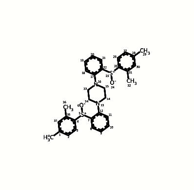 Cc1ccc([S+]([O-])c2ccccc2N2CCN(c3ccccc3[S+]([O-])c3ccc(C)cc3C)CC2)c(C)c1